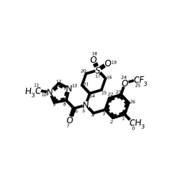 Cc1cc(CN(C(=O)c2cn(C)cn2)C2CCS(=O)(=O)CC2)cc(OC(F)(F)F)c1